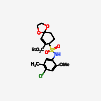 CCOC(=O)C1=CC2(CCC1S(=O)(=O)Nc1cc(C)c(Cl)cc1OC)OCCO2